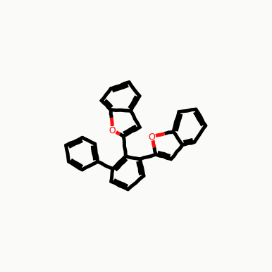 c1ccc(-c2cccc(-c3cc4ccccc4o3)c2-c2cc3ccccc3o2)cc1